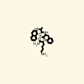 CC(Nc1ccc2ccccc2c1)C(=O)NC(Cc1ccccc1)C(=O)NC(CCCCN)C(N)=O